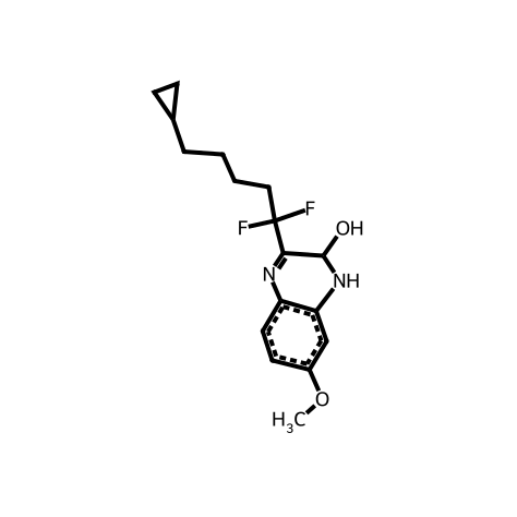 COc1ccc2c(c1)NC(O)C(C(F)(F)CCCCC1CC1)=N2